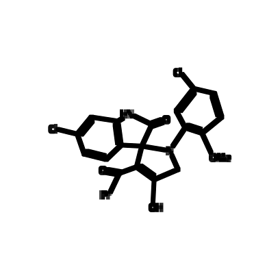 COc1ccc(Cl)cc1N1CC(O)=C(C(=O)C(C)C)C12C(=O)Nc1cc(Cl)ccc12